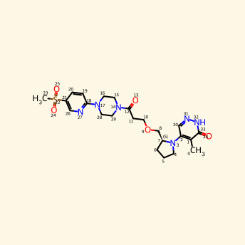 Cc1c(N2CCC[C@H]2COCCC(=O)N2CCN(c3ccc(S(C)(=O)=O)cn3)CC2)cn[nH]c1=O